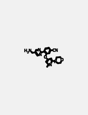 Cc1cc(Oc2cc(C#N)ccc2-c2ncc(CN)cn2)cc(N2CCOCC2)n1